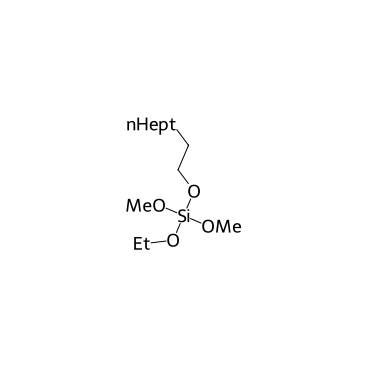 CCCCCCCCCO[Si](OC)(OC)OCC